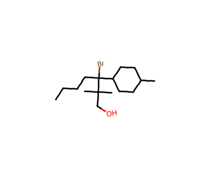 CCCCC(Br)(C1CCC(C)CC1)C(C)(C)CO